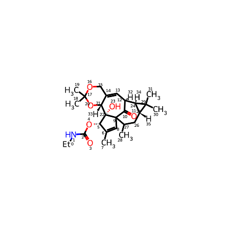 CCNC(=O)O[C@H]1C(C)=CC23C(=O)[C@@H](C=C4COC(C)(C)O[C@H]4[C@]12O)[C@@H]1[C@@H](CC3C)C1(C)C